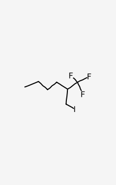 CCCCC(CI)C(F)(F)F